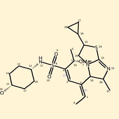 C/C=C(\C=C(/[C@H](C)OC)S(=O)(=O)N[C@H]1CC[C@@H](O)CC1)C1C(C)N=C2SC(C3CC3)CN21